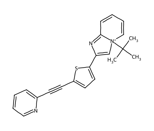 CC(C)(C)[N+]12C=CC=CC1=NC(c1ccc(C#Cc3ccccn3)s1)=C2